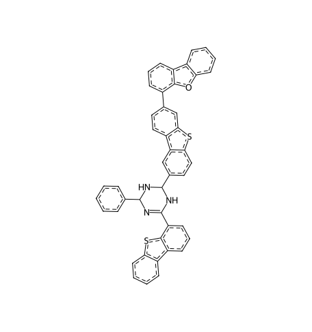 c1ccc(C2N=C(c3cccc4c3sc3ccccc34)NC(c3ccc4sc5cc(-c6cccc7c6oc6ccccc67)ccc5c4c3)N2)cc1